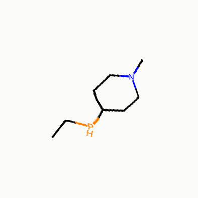 CCPC1CCN(C)CC1